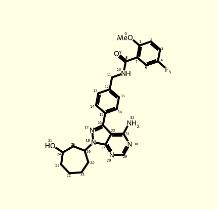 COc1ccc(F)cc1C(=O)NCc1ccc(-c2nn(C3CCCCC(O)C3)c3ncnc(N)c23)cc1